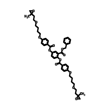 CC1(CCOCCCCOc2ccc(C(=O)Oc3ccc(OC(=O)c4ccc(OCCCCOCCC5(C)CO5)cc4)c(C(=O)OCc4ccccc4)c3)cc2)CO1